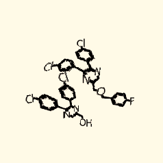 Fc1ccc(COCc2cnc(-c3ccc(Cl)cc3)c(-c3ccc(Cl)cc3)n2)cc1.OCc1cnc(-c2ccc(Cl)cc2)c(-c2ccc(Cl)cc2)n1